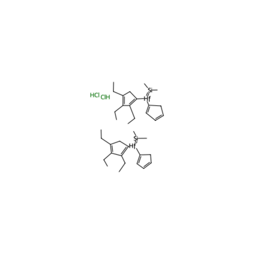 CCC1=C(CC)C(CC)=[C]([Hf]([C]2=CC=CC2)=[Si](C)C)C1.CCC1=C(CC)C(CC)=[C]([Hf]([C]2=CC=CC2)=[Si](C)C)C1.Cl.Cl